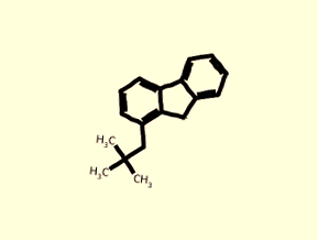 CC(C)(C)Cc1cccc2c1[CH]c1ccccc1-2